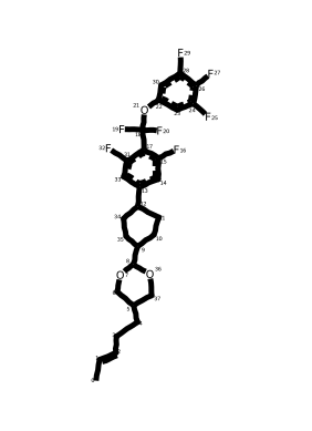 C/C=C/CCC1COC(C2CCC(c3cc(F)c(C(F)(F)Oc4cc(F)c(F)c(F)c4)c(F)c3)CC2)OC1